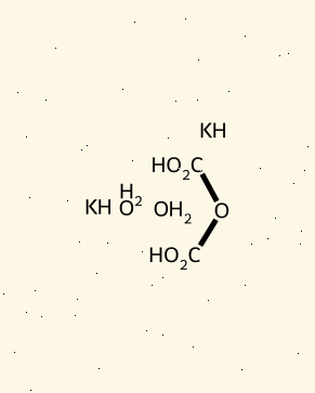 O.O.O=C(O)OC(=O)O.[KH].[KH]